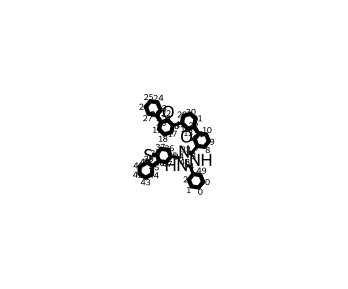 c1ccc(C2NC(c3cccc4c3oc3c(-c5cccc6c5oc5ccccc56)cccc34)=NC(c3ccc4sc5ccccc5c4c3)N2)cc1